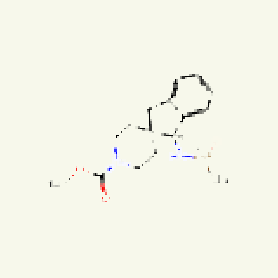 CC(C)(C)OC(=O)N1CCC2(CC1)Cc1ccccc1[C@H]2N[S@@+]([O-])C(C)(C)C